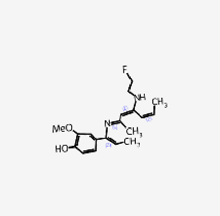 C\C=C/C(=C\C(C)=N\C(=C/C)c1ccc(O)c(OC)c1)NCCF